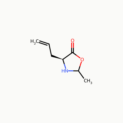 C=CC[C@@H]1NC(C)OC1=O